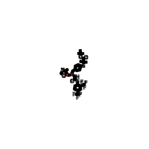 Cc1ncoc1CN(CC(=O)Nc1ccc(C(F)(F)F)cc1C(F)(F)F)Cc1ccc(SC(C)(C)C(=O)OC(C)(C)C)cc1